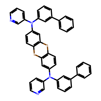 c1ccc(-c2cccc(N(c3cccnc3)c3ccc4c(c3)Sc3ccc(N(c5cccnc5)c5cccc(-c6ccccc6)c5)cc3S4)c2)cc1